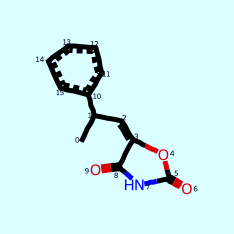 CC(C=C1OC(=O)NC1=O)c1ccccc1